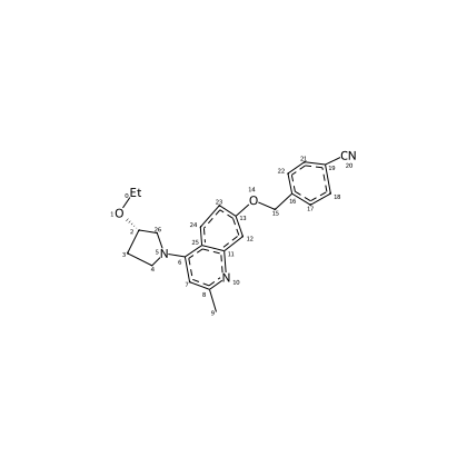 CCO[C@H]1CCN(c2cc(C)nc3cc(OCc4ccc(C#N)cc4)ccc23)C1